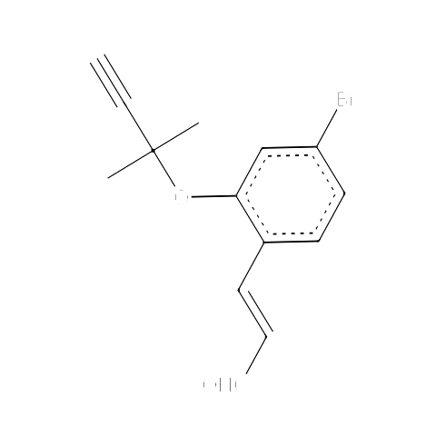 C#CC(C)(C)Oc1cc(Br)ccc1/C=C/C=O